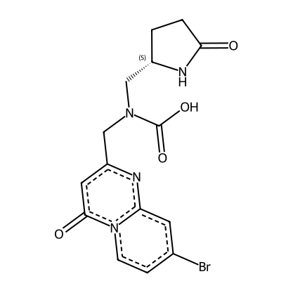 O=C1CC[C@@H](CN(Cc2cc(=O)n3ccc(Br)cc3n2)C(=O)O)N1